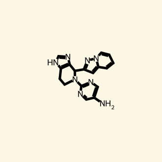 Nc1cnc(N2CCc3[nH]cnc3C2c2cc3ccccn3n2)nc1